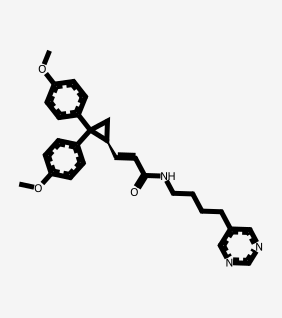 COc1ccc(C2(c3ccc(OC)cc3)C[C@H]2/C=C/C(=O)NCCCCc2cncnc2)cc1